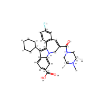 C[C@@H]1CN(C(=O)C2=Cc3cc(F)ccc3-c3c(C4CCCCC4)c4ccc(C(=O)O)cc4n3C2)C[C@H](C)N1C